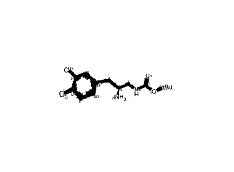 CC(C)(C)OC(=O)NC[C@@H](N)Cc1ccc(Cl)c(Cl)c1